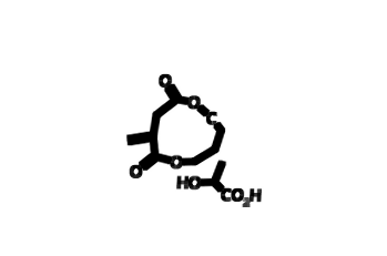 C=C1CC(=O)OCCCCOC1=O.CC(O)C(=O)O